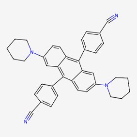 N#Cc1ccc(-c2c3ccc(N4CCCCC4)cc3c(-c3ccc(C#N)cc3)c3ccc(N4CCCCC4)cc23)cc1